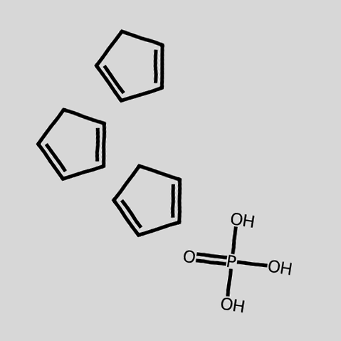 C1=CCC=C1.C1=CCC=C1.C1=CCC=C1.O=P(O)(O)O